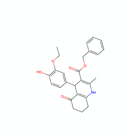 CCOc1cc(C2C(C(=O)OCc3ccccc3)=C(C)NC3=C2C(=O)CCC3)ccc1O